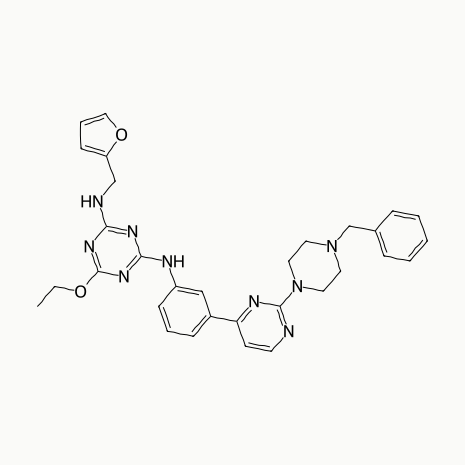 CCOc1nc(NCc2ccco2)nc(Nc2cccc(-c3ccnc(N4CCN(Cc5ccccc5)CC4)n3)c2)n1